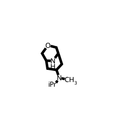 CC(C)N(C)C1CC2COCC(C1)N2